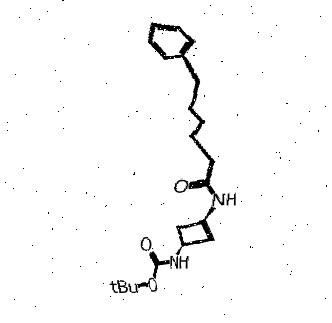 CC(C)(C)OC(=O)N[C@H]1C[C@@H](NC(=O)CCCCCc2ccccc2)C1